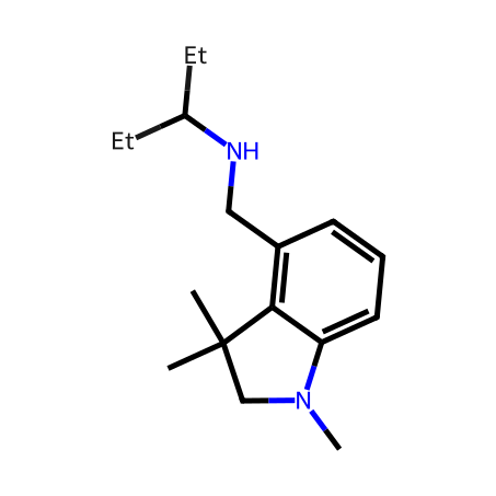 CCC(CC)NCc1cccc2c1C(C)(C)CN2C